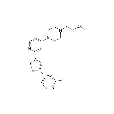 COCCN1CCN(c2ccnc(N3C=C(c4ccnc(C)c4)SC3)c2)CC1